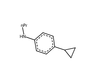 CCCNc1ccc(C2CC2)cc1